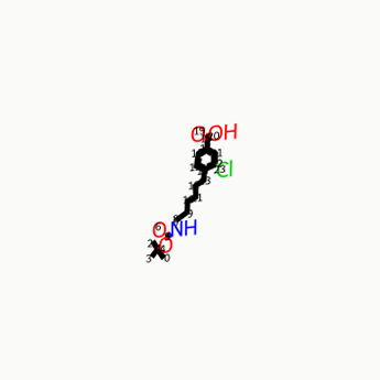 CC(C)(C)OC(=O)NCCCCCCc1ccc(C(=O)O)cc1Cl